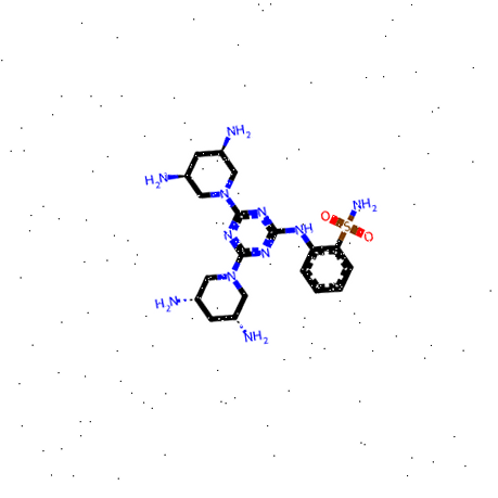 N[C@@H]1C[C@H](N)CN(c2nc(Nc3ccccc3S(N)(=O)=O)nc(N3C[C@H](N)C[C@H](N)C3)n2)C1